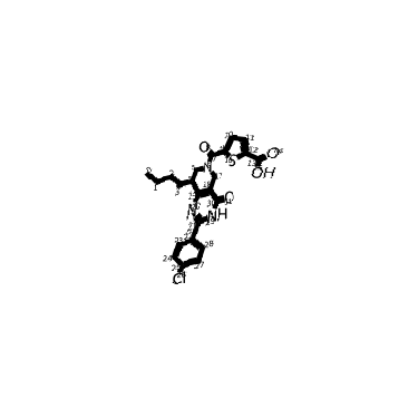 CCCCC1CN(C(=O)c2ccc(C(=O)O)s2)Cc2c1nc(-c1ccc(Cl)cc1)[nH]c2=O